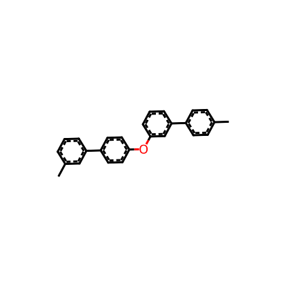 Cc1ccc(-c2cccc(Oc3ccc(-c4cccc(C)c4)cc3)c2)cc1